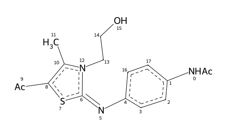 CC(=O)Nc1ccc(N=c2sc(C(C)=O)c(C)n2CCO)cc1